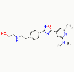 CCN(CC)c1cc(-c2nc(-c3ccc(CCNCCO)cc3)no2)cc(C)n1